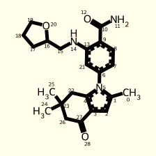 Cc1cc2c(n1-c1ccc(C(N)=O)c(NCC3CCCO3)c1)CC(C)(C)CC2=O